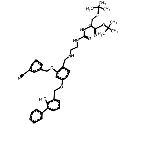 Cc1c(COc2ccc(CNCCNC(=O)N[C@@H](COC(C)(C)C)C(=O)OC(C)(C)C)c(OCc3cccc(C#N)c3)c2)cccc1-c1ccccc1